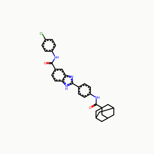 O=C(Nc1ccc(Cl)cc1)c1ccc2[nH]c(-c3ccc(NC(=O)C45CC6CC(CC(C6)C4)C5)cc3)nc2c1